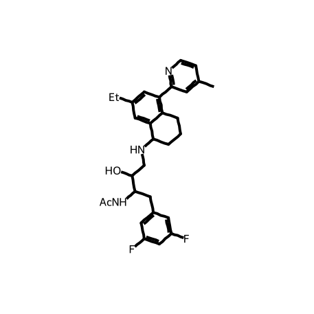 CCc1cc(-c2cc(C)ccn2)c2c(c1)C(NCC(O)C(Cc1cc(F)cc(F)c1)NC(C)=O)CCC2